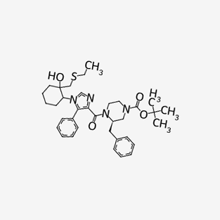 CCSCC1(O)CCCCC1n1cnc(C(=O)N2CCN(C(=O)OC(C)(C)C)C[C@H]2Cc2ccccc2)c1-c1ccccc1